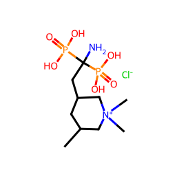 CC1CC(CC(N)(P(=O)(O)O)P(=O)(O)O)C[N+](C)(C)C1.[Cl-]